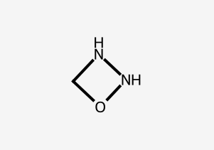 C1NNO1